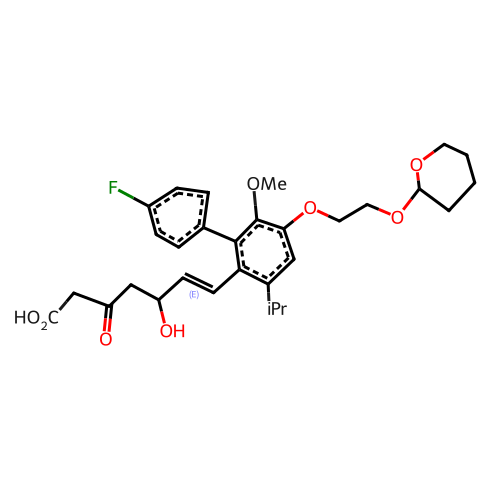 COc1c(OCCOC2CCCCO2)cc(C(C)C)c(/C=C/C(O)CC(=O)CC(=O)O)c1-c1ccc(F)cc1